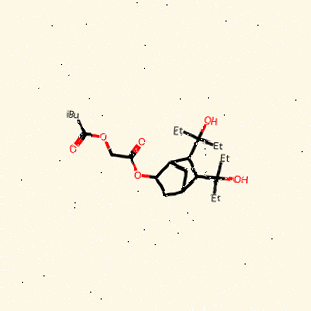 CCC(C)C(=O)OCC(=O)OC1CC2CC1C(C(O)(CC)CC)C2C(O)(CC)CC